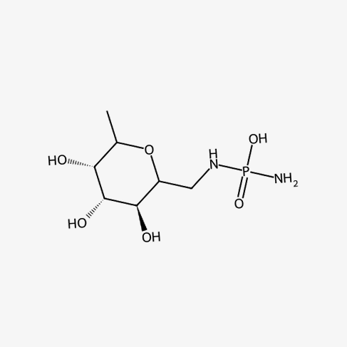 CC1OC(CNP(N)(=O)O)[C@@H](O)[C@H](O)[C@@H]1O